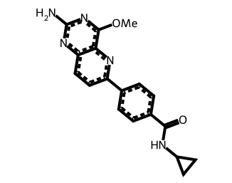 COc1nc(N)nc2ccc(-c3ccc(C(=O)NC4CC4)cc3)nc12